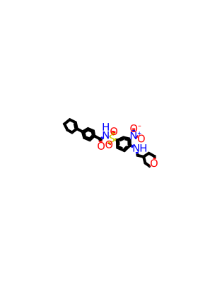 O=C(NS(=O)(=O)c1ccc(NCC2CCOCC2)c([N+](=O)[O-])c1)c1ccc(C2=CCCCC2)cc1